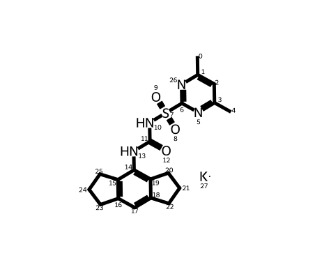 Cc1cc(C)nc(S(=O)(=O)NC(=O)Nc2c3c(cc4c2CCC4)CCC3)n1.[K]